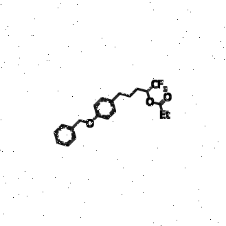 CCC(=O)OC(CCCc1ccc(OCc2ccccc2)cc1)C(F)(F)F